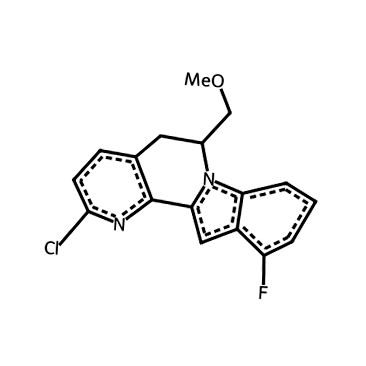 COCC1Cc2ccc(Cl)nc2-c2cc3c(F)cccc3n21